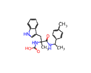 Cc1ccc(C(C)NC(=O)C(C)(Cc2c[nH]c3ccccc23)NC(=O)O)cc1